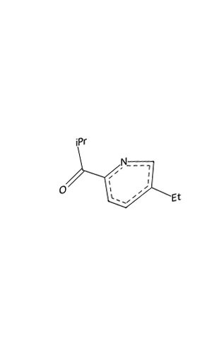 CCc1ccc(C(=O)C(C)C)nc1